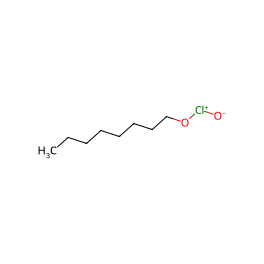 CCCCCCCCO[Cl+][O-]